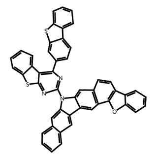 c1ccc2cc3c(cc2c1)c1cc2c(ccc4c5ccccc5oc24)cc1n3-c1nc(-c2ccc3c(c2)sc2ccccc23)c2c(n1)sc1ccccc12